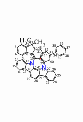 CC1(C)c2ccccc2-c2c(-n3c4ccccc4c4ccc5c6ccccc6n(-c6cccc(-c7ccccc7)c6)c5c43)cccc21